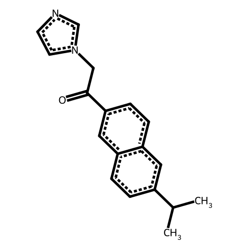 CC(C)c1ccc2cc(C(=O)Cn3ccnc3)ccc2c1